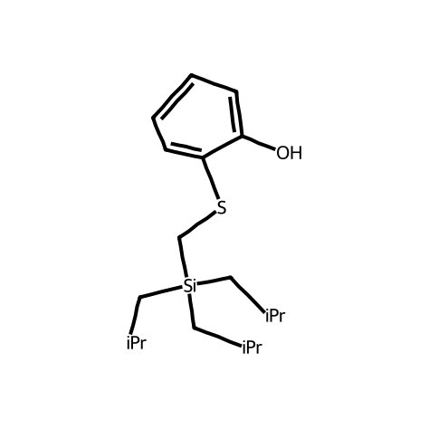 CC(C)C[Si](CSc1ccccc1O)(CC(C)C)CC(C)C